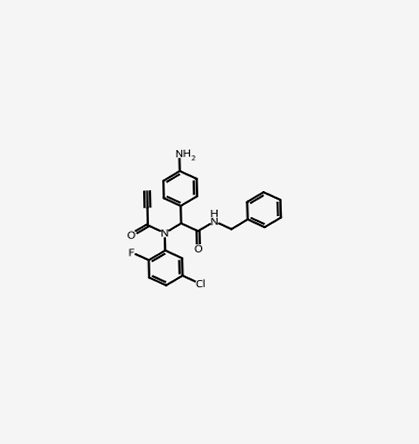 C#CC(=O)N(c1cc(Cl)ccc1F)C(C(=O)NCc1ccccc1)c1ccc(N)cc1